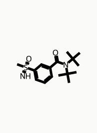 CC(C)(C)N(C(=O)c1cccc(S(C)(=N)=O)c1)C(C)(C)C